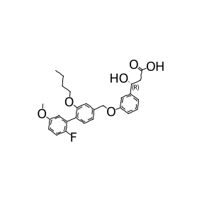 CCCCOc1cc(COc2cccc([C@H](O)CC(=O)O)c2)ccc1-c1cc(OC)ccc1F